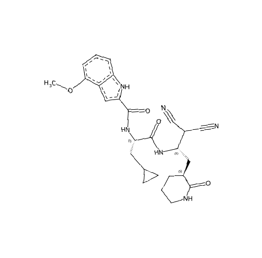 COc1cccc2[nH]c(C(=O)N[C@@H](CC3CC3)C(=O)N[C@@H](C[C@@H]3CCCNC3=O)C(C#N)C#N)cc12